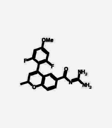 COc1cc(F)c(C2=CC(C)Oc3ccc(C(=O)N=C(N)N)cc32)c(F)c1